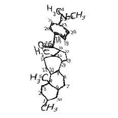 CC1CCC2(C)C(CCC3C2CCC2(C)C(C(=O)c4ccc(N(C)C)cc4)CCC32)C1